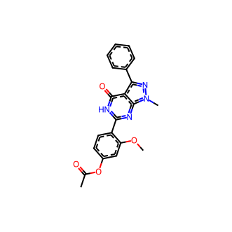 COc1cc(OC(C)=O)ccc1-c1nc2c(c(-c3ccccc3)nn2C)c(=O)[nH]1